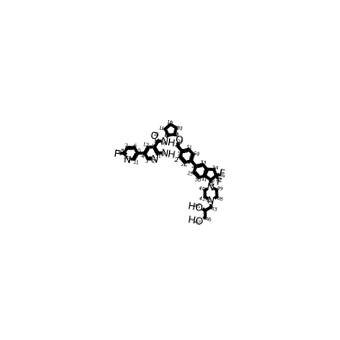 Nc1ncc(-c2ccc(F)nc2)cc1C(=O)N[C@H]1CCC[C@@H]1OCc1ccc(-c2ccc3c(c2)CC(F)(F)C3N2CCN(CC(O)CO)CC2)cc1